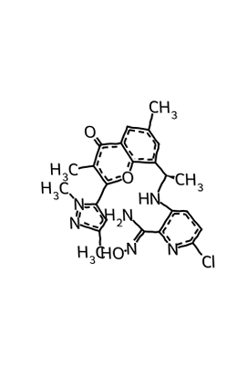 Cc1cc([C@@H](C)Nc2ccc(Cl)nc2/C(N)=N/O)c2oc(-c3cc(C)nn3C)c(C)c(=O)c2c1